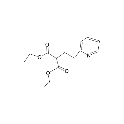 CCOC(=O)C(CCc1ccccn1)C(=O)OCC